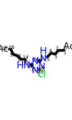 CC(=O)CCCCCNc1nc(Cl)nc(NCCCCCC(C)=O)n1